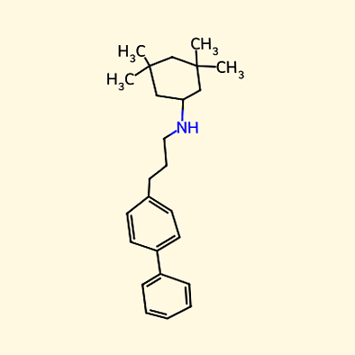 CC1(C)CC(NCCCc2ccc(-c3ccccc3)cc2)CC(C)(C)C1